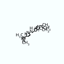 Cc1nn(C)cc1-c1ccc(NCC2CC3CN(CC(C)C(C)(C)C)CC3C2)nn1